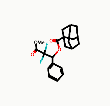 COC(=O)C(F)(F)C(OC(=O)C12CC3CC(CC(C3)C1)C2)c1ccccc1